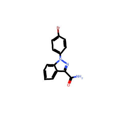 NC(=O)c1nn(-c2ccc(Br)cc2)c2ccccc12